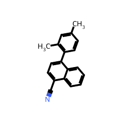 Cc1ccc(-c2ccc(C#N)c3ccccc23)c(C)c1